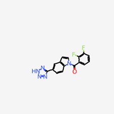 O=C(c1cccc(F)c1F)n1ccc2cc(-c3nn[nH]n3)ccc21